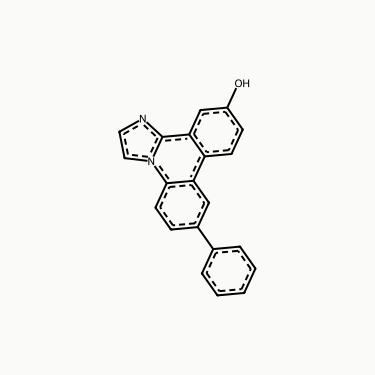 Oc1ccc2c3cc(-c4ccccc4)ccc3n3ccnc3c2c1